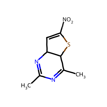 CC1=NC2C=C([N+](=O)[O-])SC2C(C)=N1